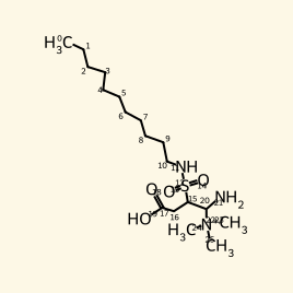 CCCCCCCCCCCNS(=O)(=O)C(CC(=O)O)C(N)[N+](C)(C)C